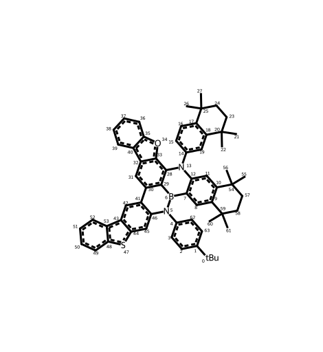 CC(C)(C)c1ccc(N2B3c4cc5c(cc4N(c4ccc6c(c4)C(C)(C)CCC6(C)C)c4c3c(cc3c4oc4ccccc43)-c3cc4c(cc32)sc2ccccc24)C(C)(C)CCC5(C)C)cc1